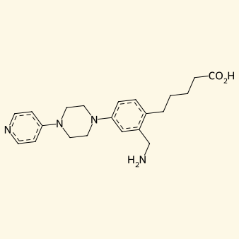 NCc1cc(N2CCN(c3ccncc3)CC2)ccc1CCCCC(=O)O